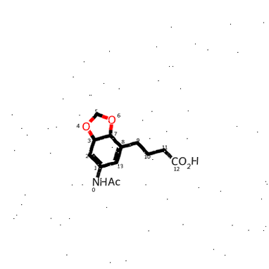 CC(=O)NC1=CC2OCOC2C(CCCC(=O)O)=C1